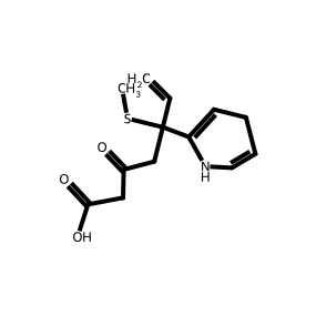 C=CC(CC(=O)CC(=O)O)(SC)C1=CCC=CN1